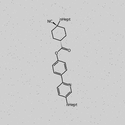 CCCCCCCc1ccc(-c2ccc(OC(=O)[C@H]3CC[C@@](C#N)(CCCCCCC)CC3)cc2)nc1